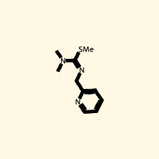 CSC(=NCc1ccccn1)N(C)C